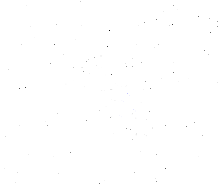 C=CN/C=C\C(=C/C1CC(F)c2ccc(CC)cc21)C(/C=C\N=C)=NCNC1CCCCC1